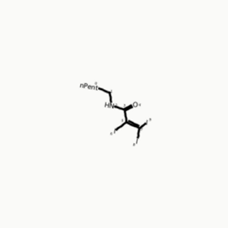 CCCCCCNC(=O)C(I)=C(I)I